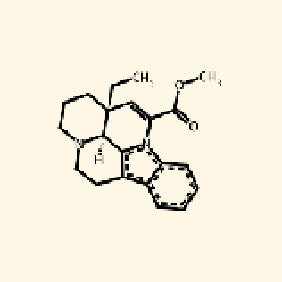 CC[C@]12C=C(C(=O)OC)n3c4c(c5ccccc53)CCN(CCC1)[C@H]42